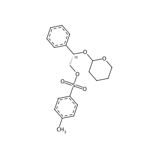 Cc1ccc(S(=O)(=O)OC[C@@H](OC2CCCCO2)c2ccccc2)cc1